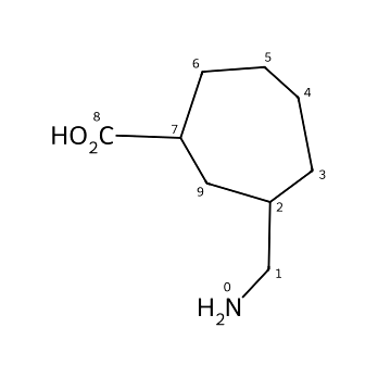 NCC1CCCCC(C(=O)O)C1